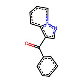 O=C(c1ccccc1)c1cnn2ccccc12